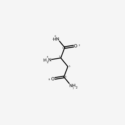 [NH]C(=O)C(N)CC(N)=O